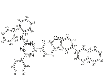 c1ccc(-c2nc(-c3ccc4c(c3)oc3ccc(-c5ccc6ccccc6c5)cc34)nc(-n3c4ccccc4c4ccccc43)n2)cc1